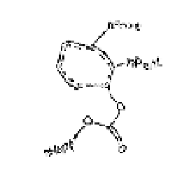 CCCCCCCOC(=O)Oc1cccc(CCCCC)c1CCCCC